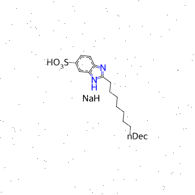 CCCCCCCCCCCCCCCCCc1nc2ccc(S(=O)(=O)O)cc2[nH]1.[NaH]